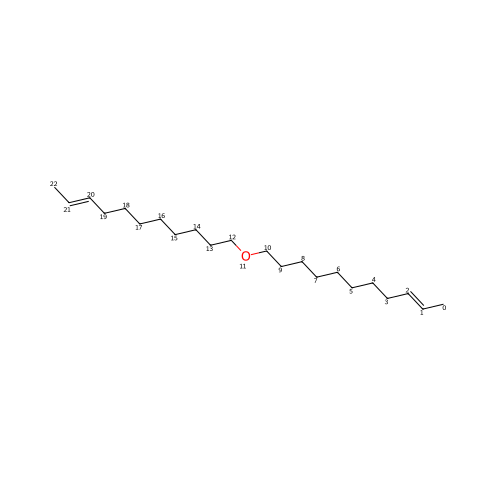 CC=CCCCCCCCCOCCCCCCCCC=CC